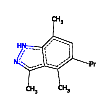 Cc1cc(C(C)C)c(C)c2c(C)n[nH]c12